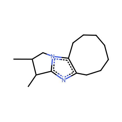 CC1Cn2c(nc3c2CCCCCCC3)C1C